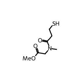 COC(=O)CN(C)C(=O)CCS